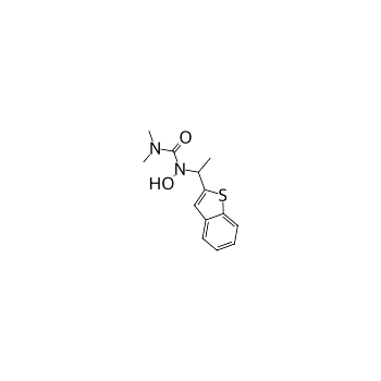 CC(c1cc2ccccc2s1)N(O)C(=O)N(C)C